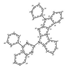 c1ccc(-c2nc(-n3c4ccccc4n4c5c6ccccc6n(-c6ccccc6)c5nc34)nc3ccccc23)cc1